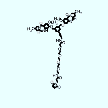 C=C1C[C@H]2CNc3cc(OCc4cc(C#CCNC(=O)CCOCCOCCOCCOCCNC(=O)CCN5C(=O)C=CC5=O)cc(COc5cc6c(cc5OC)C(=O)N5CC(=C)C[C@H]5C=N6)c4)c(OC)cc3C(=O)N2C1